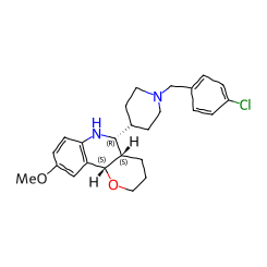 COc1ccc2c(c1)[C@H]1OCCC[C@H]1[C@@H](C1CCN(Cc3ccc(Cl)cc3)CC1)N2